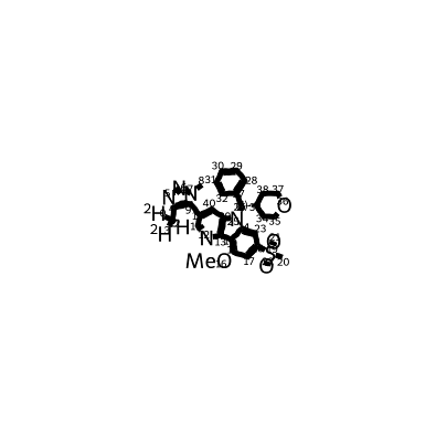 [2H]C([2H])([2H])c1nnn(C)c1-c1cnc2c3c(OC)cc(S(C)(=O)=O)cc3n([C@H](c3ccccc3)C3CCOCC3)c2c1